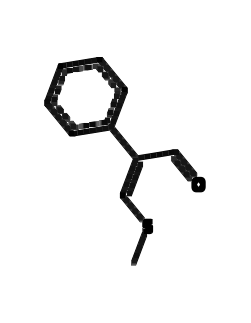 CS/C=C(\C=O)c1ccccc1